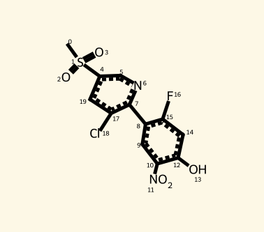 CS(=O)(=O)c1cnc(-c2cc([N+](=O)[O-])c(O)cc2F)c(Cl)c1